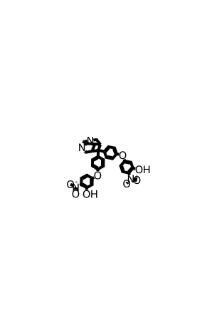 O=[N+]([O-])c1ccc(Oc2ccc(C3(c4ccc(Oc5ccc([N+](=O)[O-])c(O)c5)cc4)C4CN5CC3CN(C4)C5)cc2)cc1O